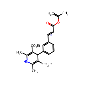 C=C(C)OC(=O)/C=C/c1cccc(C2C(C(=O)OCC)=C(C)NC(C)=C2C(=O)OCC)c1